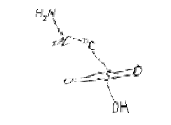 N[13CH2][13CH2]S(=O)(=O)O